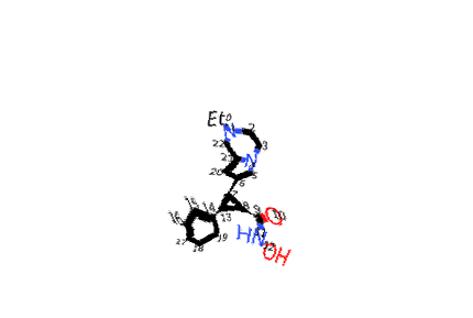 CCN1CCn2cc([C@H]3[C@H](C(=O)NO)[C@@H]3c3ccccc3)cc2C1